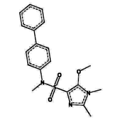 COc1c(S(=O)(=O)N(C)c2ccc(-c3ccccc3)cc2)nc(C)n1C